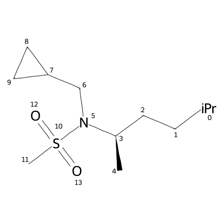 CC(C)CC[C@@H](C)N(CC1CC1)S(C)(=O)=O